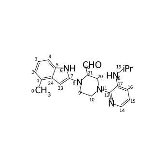 Cc1cccc2[nH]c(N3CCN(c4ncccc4NC(C)C)CC3C=O)cc12